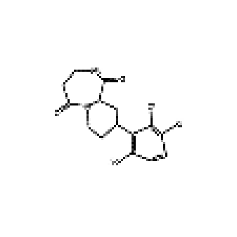 O=C1NCCC(=O)N2CCC(c3c(O)ccc(Cl)c3Cl)CC12